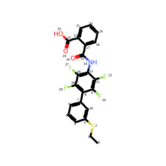 CCSc1cccc(-c2c(F)c(F)c(NC(=O)c3ccccc3C(=O)O)c(F)c2F)c1